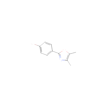 [CH2]c1oc(-c2ccc(Br)cc2)nc1C